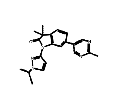 Cc1ncc(-c2ccc3c(c2)N(c2ccn(C(C)C)n2)C(=O)C3(C)C)cn1